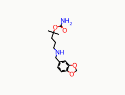 CC(C)(CCCNCc1ccc2c(c1)OCO2)OC(N)=O